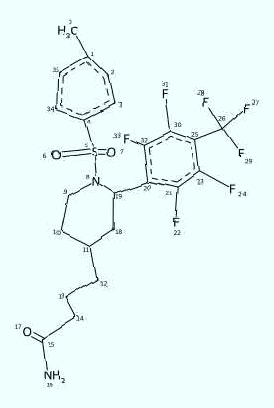 Cc1ccc(S(=O)(=O)N2CCC(CCCC(N)=O)CC2c2c(F)c(F)c(C(F)(F)F)c(F)c2F)cc1